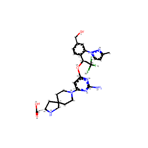 Cc1ccn(-c2cc(CO)ccc2C(Oc2cc(N3CCC4(CC3)CN[C@H](C(=O)O)C4)nc(N)n2)C(F)(F)F)n1